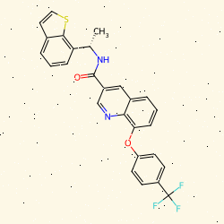 C[C@H](NC(=O)c1cnc2c(Oc3ccc(C(F)(F)F)cc3)cccc2c1)c1cccc2ccsc12